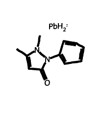 Cc1cc(=O)n(-c2ccccc2)n1C.[PbH2]